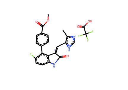 COC(=O)c1ccc(-c2c(F)ccc3c2/C(=C/c2[nH]cnc2C)C(=O)N3)cc1.O=C(O)C(F)(F)F